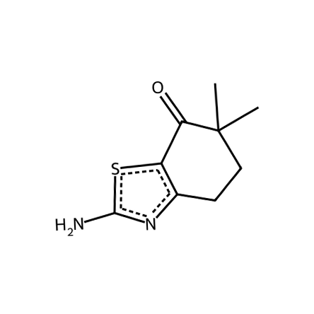 CC1(C)CCc2nc(N)sc2C1=O